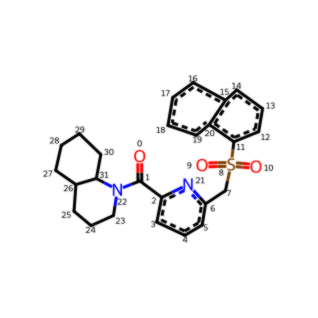 O=C(c1cccc(CS(=O)(=O)c2cccc3ccccc23)n1)N1CCCC2CCCCC21